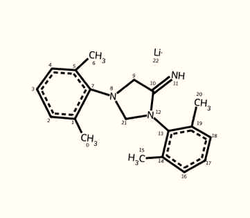 Cc1cccc(C)c1N1CC(=N)N(c2c(C)cccc2C)C1.[Li]